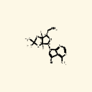 CC1(C)O[C@@H]2[C@H](O1)[C@@H](CN)O[C@H]2n1cc(Br)c2c(N)ncnc21